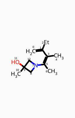 C=C(CC)C(C)=C(C)N1CC(C)(O)C1